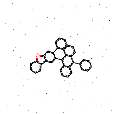 c1ccc(-c2cc3oc4ccccc4c3cc2-c2c3ccccc3c(-c3ccccc3)c3ccccc23)cc1